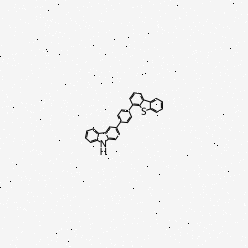 c1ccc2c(c1)[nH]c1ccc(-c3ccc(-c4cccc5c4sc4ccccc45)cc3)cc12